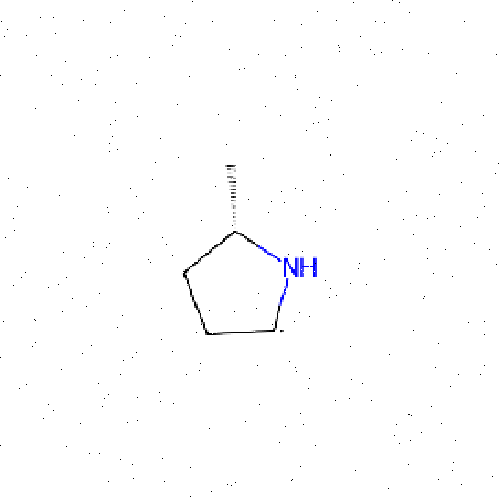 C[C@H]1CC[CH]N1